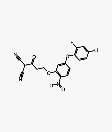 N#CC(C#N)C(=O)CCOc1cc(Oc2ccc(Cl)cc2F)ccc1[N+](=O)[O-]